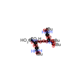 CC(C)(C)OC(=O)CC(NC(=O)c1cc(OCCOCCOCCOc2cc(C(=O)NC(CC(=O)O)C(=O)O)cc(C(=O)Oc3ccc(C(=N)NC(=O)OC(C)(C)C)cc3)c2)cc(C(=O)Oc2ccc(C(=N)NC(=O)OC(C)(C)C)cc2)c1)C(=O)OC(C)(C)C